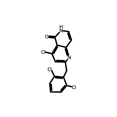 O=c1[nH]ccc2nc(Cc3c(Cl)cccc3Cl)cc(Cl)c12